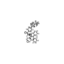 O=C(NC[C@H]1COCCN1C(=O)C(c1ccccc1)c1ccccc1)c1ccc(-c2noc(C(F)(F)F)n2)cc1